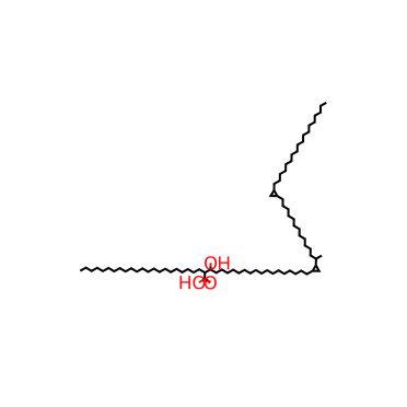 CCCCCCCCCCCCCCCCCCCCCCC(C(=O)O)C(O)CCCCCCCCCCCCCCCCCC1CC1C(C)CCCCCCCCCCCCC1CC1CCCCCCCCCCCCCCCCCC